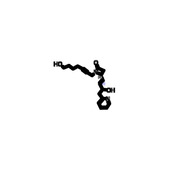 O=C1C[C@H](/C=C/C(O)Cc2ccccn2)N1CC#CCCCCO